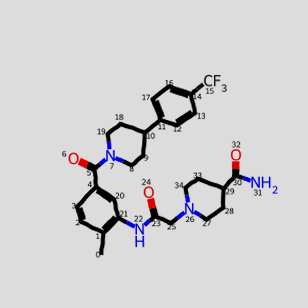 Cc1ccc(C(=O)N2CCC(c3ccc(C(F)(F)F)cc3)CC2)cc1NC(=O)CN1CCC(C(N)=O)CC1